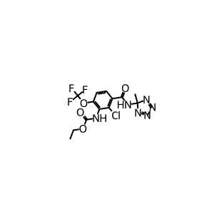 CCOC(=O)Nc1c(OC(F)(F)F)ccc(C(=O)NC2(C)N=NN=N2)c1Cl